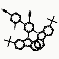 CC(C)(C)c1ccc2c3ccccc3n(-c3cc(C#N)c(-c4ccc(C#N)cc4F)cc3-n3c4ccccc4c4ccc(C(C)(C)C)cc43)c2c1